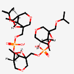 CC(C)OCC12COC[C@H](C(C)O1)[C@H]2OP(=O)(O)OCC12COC[C@H](C(C)O1)[C@H]2OP(=O)(O)OCC12COC[C@H](C(C)O1)[C@H]2OC(C)C